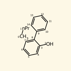 CCCC.Oc1ccccc1-c1ccccc1